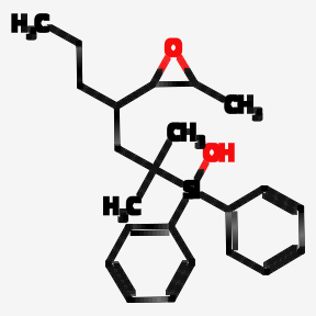 CCCC(CC(C)(C)[Si](O)(c1ccccc1)c1ccccc1)C1OC1C